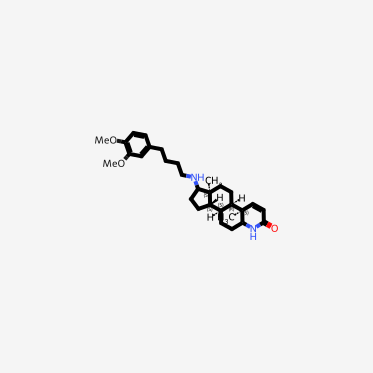 COc1ccc(CCCCNC2CC[C@H]3[C@@H]4CCC5NC(=O)C=C[C@]5(C)[C@@H]4CC[C@]23C)cc1OC